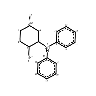 CC(C)C1CC[C@H](C)C[CH]1[SnH]([c]1ccccc1)[c]1ccccc1